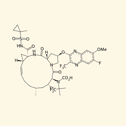 CC[C@@H]1C[C@H](C)CCC=C[C@@H]2C[C@@]2(C(=O)NS(=O)(=O)C2(C)CC2)NC(=O)[C@@H]2C[C@@H](Oc3nc4cc(OC)c(F)cc4nc3C(F)(F)F)CN2C(=O)[C@H]1N(C(=O)O)C(C)(C)C(F)(F)F